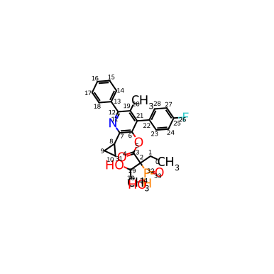 CCC(C(=O)Oc1c(C2CC2)nc(-c2ccccc2)c(C)c1-c1ccc(F)cc1)(C(C)O)[PH](=O)O